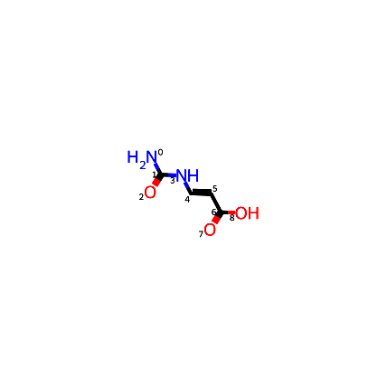 NC(=O)NC=CC(=O)O